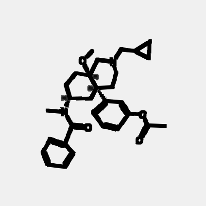 CO[C@]12CC[C@@H](N(C)C(=O)c3ccccc3)C[C@]1(c1cccc(OC(C)=O)c1)CCN(CC1CC1)C2